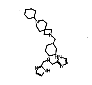 c1c[nH]c(CN(Cc2ncc[nH]2)[C@H]2CC[C@H](CN3CC4(CCN(C5CCCCC5)CC4)C3)CC2)n1